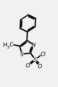 Cc1sc(S(=O)(=O)Cl)nc1-c1ccccc1